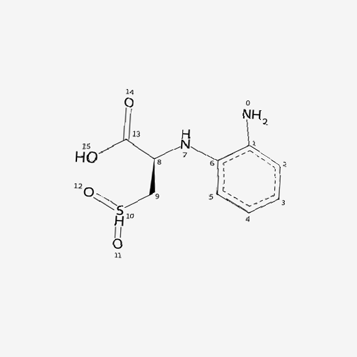 Nc1ccccc1N[C@@H](C[SH](=O)=O)C(=O)O